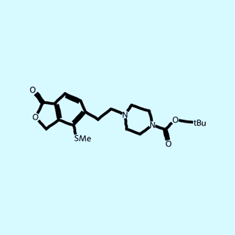 CSc1c(CCN2CCN(C(=O)OC(C)(C)C)CC2)ccc2c1COC2=O